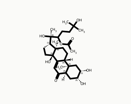 CC(=O)OC(CCC(C)(C)O)[C@](C)(O)[C@H]1CC[C@@]2(O)C3=CC(=O)[C@@H]4C[C@@H](O)[C@@H](O)C[C@]4(C)[C@H]3CC[C@]12C